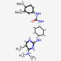 COc1ccc(NC(=O)N[C@H]2CC[C@@H](Nc3ncc(C)c(N(C)C)n3)CC2)cc1OC